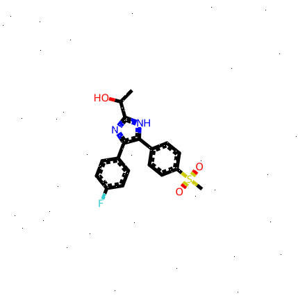 CC(O)c1nc(-c2ccc(F)cc2)c(-c2ccc(S(C)(=O)=O)cc2)[nH]1